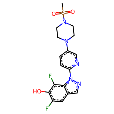 CS(=O)(=O)N1CCN(c2ccc(-n3ncc4cc(F)c(O)c(F)c43)nc2)CC1